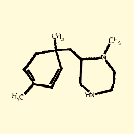 CC1=CCC(C)(CC2CNCCN2C)C=C1